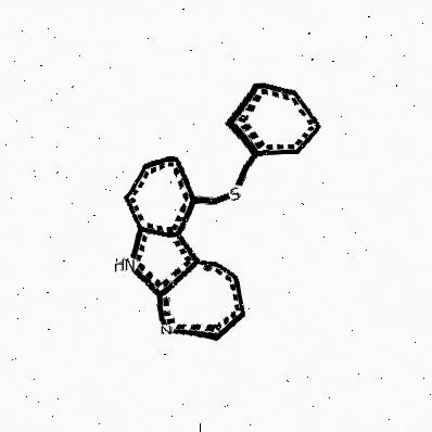 c1ccc(Sc2cccc3[nH]c4ncccc4c23)cc1